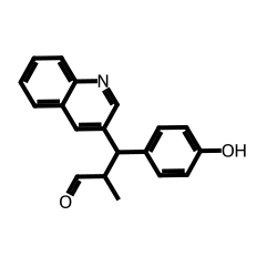 CC(C=O)C(c1ccc(O)cc1)c1cnc2ccccc2c1